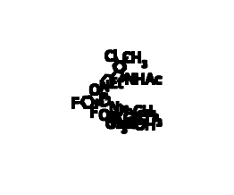 CC[C@H](NC(C)=O)c1cc(C)c(Cl)cc1C1CCN(C(=O)[C@@H]2CC(N3C[C@H](CC(C)(C)[Si](C)(C)O)C[C@@H]3C(=O)OC)C[C@H]2C2C=CC(F)=CC2F)CC1